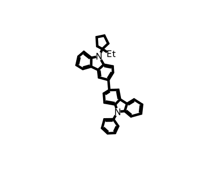 CCC1(n2c3ccccc3c3cc(-c4ccc5c(c4)c4ccccc4n5-c4ccccc4)ccc32)CCCC1